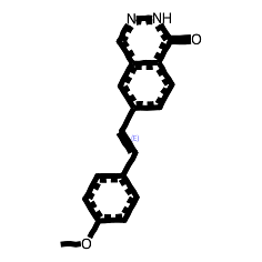 COc1ccc(/C=C/c2ccc3c(=O)[nH]ncc3c2)cc1